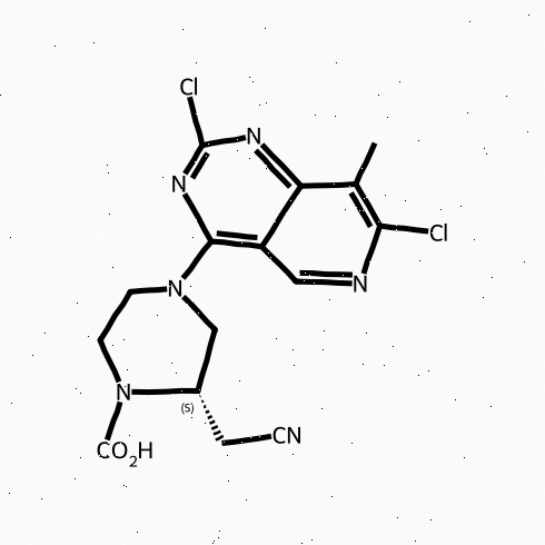 Cc1c(Cl)ncc2c(N3CCN(C(=O)O)[C@@H](CC#N)C3)nc(Cl)nc12